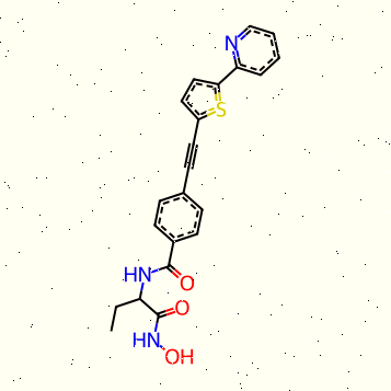 CCC(NC(=O)c1ccc(C#Cc2ccc(-c3ccccn3)s2)cc1)C(=O)NO